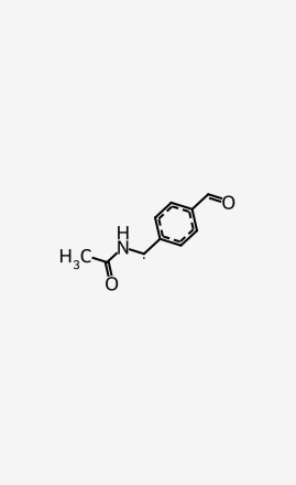 CC(=O)N[CH]c1ccc(C=O)cc1